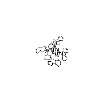 c1ccc2cc3c(cc2c1)c1cc2ccccc2cc1n3-c1ccc2oc3ccccc3c2c1-c1nc(-c2cccc3c2oc2ccccc23)nc(-n2c3ccccc3c3ccccc32)n1